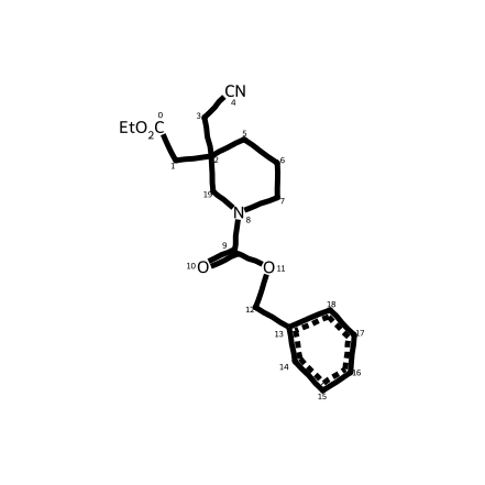 CCOC(=O)CC1(CC#N)CCCN(C(=O)OCc2ccccc2)C1